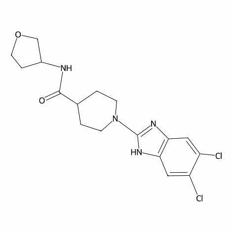 O=C(NC1CCOC1)C1CCN(c2nc3cc(Cl)c(Cl)cc3[nH]2)CC1